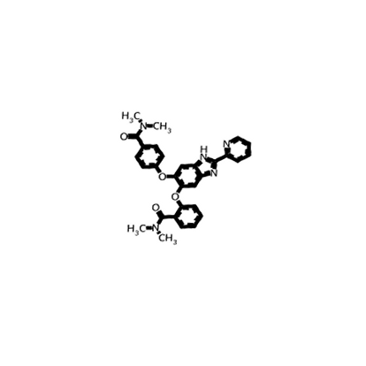 CN(C)C(=O)c1ccc(Oc2cc3[nH]c(-c4ccccn4)nc3cc2Oc2ccccc2C(=O)N(C)C)cc1